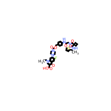 CCn1cc(C(=O)O)c(=O)c2cc(F)c(N3CCN(C(=O)OCc4ccc(NC(=O)CNC(=O)C5(C(=O)N[C@@H](C)c6cccs6)CCC5)cc4)CC3)cc21